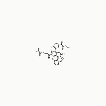 C=C(C)NCCCNc1nc(-c2cc(C(=O)NCCC)ccc2C)c2c(n1)N(c1c(F)cccc1F)C(=O)NC2